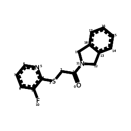 O=C(CSc1ncccc1F)N1Cc2ccccc2C1